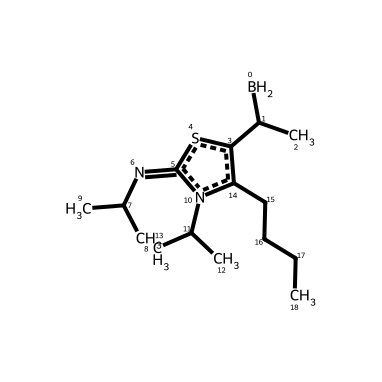 BC(C)c1s/c(=N/C(C)C)n(C(C)C)c1CCCC